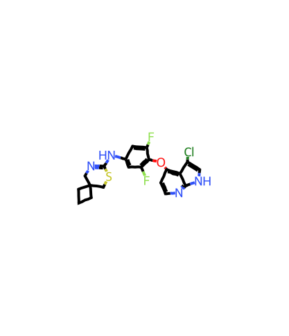 Fc1cc(NC2=NCC3(CCC3)CS2)cc(F)c1Oc1ccnc2[nH]cc(Cl)c12